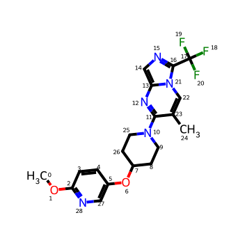 COc1ccc(OC2CCN(c3nc4cnc(C(F)(F)F)n4cc3C)CC2)cn1